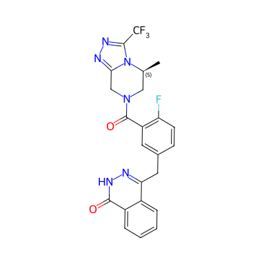 C[C@H]1CN(C(=O)c2cc(Cc3n[nH]c(=O)c4ccccc34)ccc2F)Cc2nnc(C(F)(F)F)n21